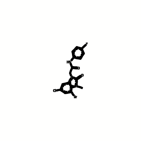 Cn1c(=O)n(CC(=O)Nc2ccc(F)cc2)c2cc(Cl)cc(Br)c21